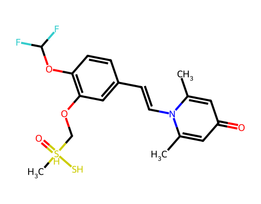 Cc1cc(=O)cc(C)n1/C=C/c1ccc(OC(F)F)c(OC[SH](C)(=O)S)c1